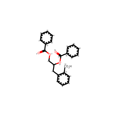 O=C(OCC(Cc1ccccc1C(=O)O)OC(=O)c1ccccc1)c1ccccc1